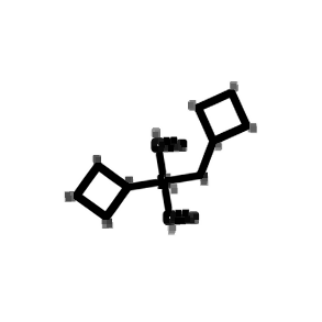 CO[Si]([CH]C1CCC1)(OC)C1CCC1